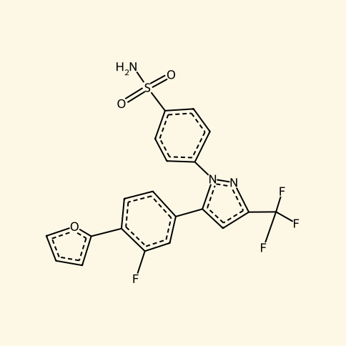 NS(=O)(=O)c1ccc(-n2nc(C(F)(F)F)cc2-c2ccc(-c3ccco3)c(F)c2)cc1